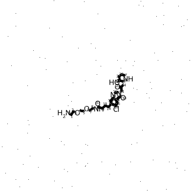 NCCOCCOCCNC(=O)CCCc1cc2ncn(CC(=O)C[C@H]3NCCC[C@@H]3O)c(=O)c2cc1Cl